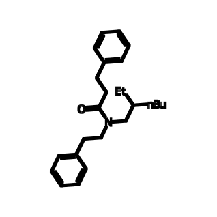 CCCCC(CC)CN(CCc1ccccc1)C(=O)CCc1ccccc1